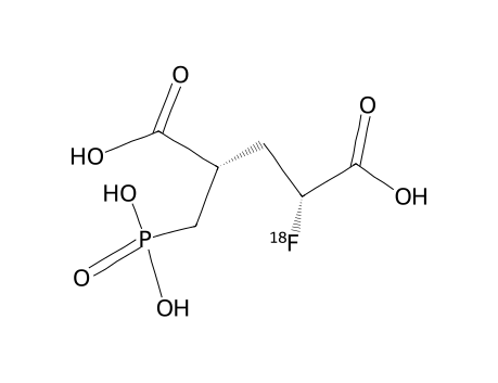 O=C(O)[C@H](C[C@@H]([18F])C(=O)O)CP(=O)(O)O